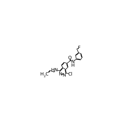 C=CCNc1nnc(Cl)c2cc(C(=O)Nc3cccc(CF)c3)ccc12